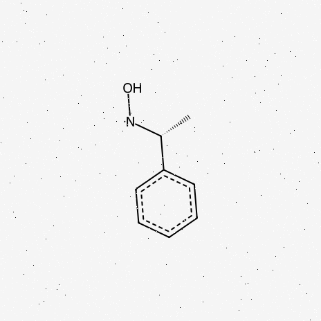 C[C@@H]([N]O)c1ccccc1